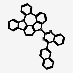 c1ccc2cc(-c3nc(-n4c5cccc6c7ccccc7n7c8ccccc8c8ccc4c(c65)c87)nc4ccccc34)ccc2c1